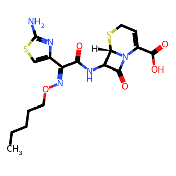 CCCCCON=C(C(=O)NC1C(=O)N2C(C(=O)O)=CCS[C@@H]12)c1csc(N)n1